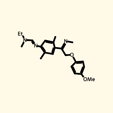 CCN(C)C=Nc1cc(C)c(C(COc2ccc(OC)cc2)=NC)cc1C